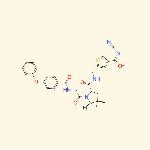 CO/C(=N/C#N)c1csc(CNC(=O)[C@@H]2C[C@]3(C)C[C@@H]3N2C(=O)CNC(=O)c2ccc(Oc3ccccc3)cc2)c1